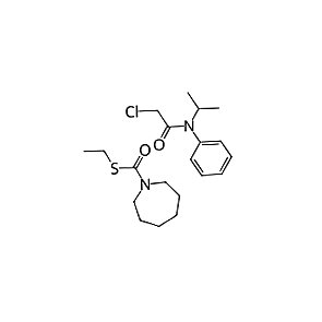 CC(C)N(C(=O)CCl)c1ccccc1.CCSC(=O)N1CCCCCC1